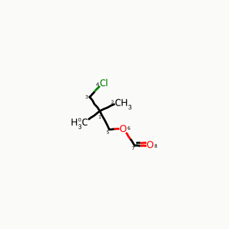 CC(C)(CCl)COC=O